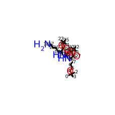 CC(C)(C)OCCC[C@H](NC(=O)N[C@@H](CCCCN)C(=O)OC(C)(C)C)C(=O)OC(C)(C)C